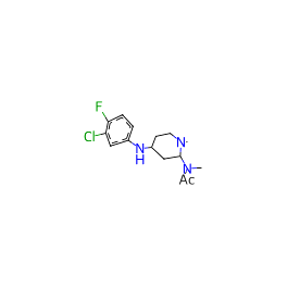 CC(=O)N(C)C1CC(Nc2ccc(F)c(Cl)c2)CC[N]1